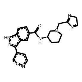 O=C(N[C@@H]1CCCN(CC2=NCC=N2)C1)c1ccc2[nH]nc(-c3ccncc3)c2c1